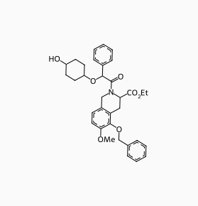 CCOC(=O)C1Cc2c(ccc(OC)c2OCc2ccccc2)CN1C(=O)C(OC1CCC(O)CC1)c1ccccc1